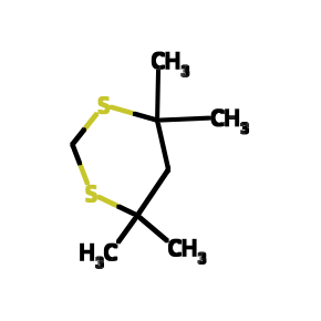 CC1(C)CC(C)(C)SCS1